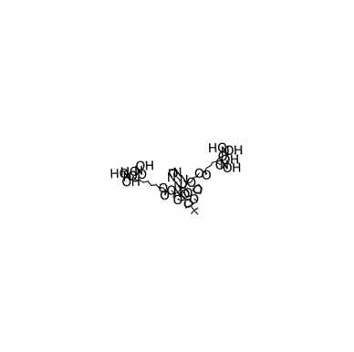 COc1ccccc1Oc1c(OCCOC(=O)CCCC(CON(O)O)ON(O)O)nc(-c2ncccn2)nc1N(C(C)OC(=O)OCCCCCC(CON(O)O)ON(O)O)S(=O)(=O)c1ccc(C(C)(C)C)cc1